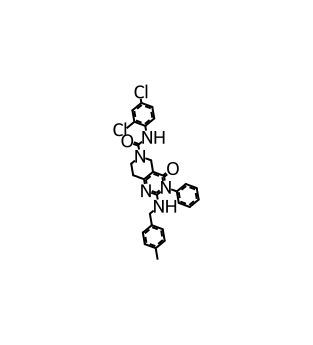 Cc1ccc(CNc2nc3c(c(=O)n2-c2ccccc2)CN(C(=O)Nc2ccc(Cl)cc2Cl)CC3)cc1